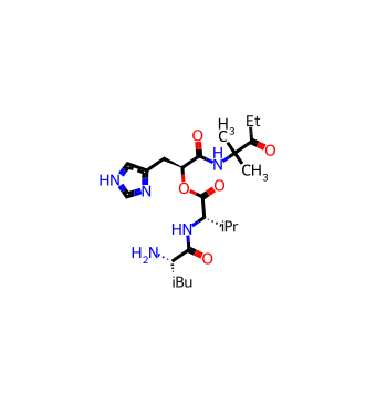 CCC(=O)C(C)(C)NC(=O)[C@H](Cc1c[nH]cn1)OC(=O)[C@@H](NC(=O)[C@@H](N)[C@@H](C)CC)C(C)C